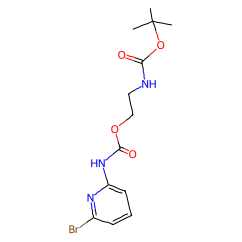 CC(C)(C)OC(=O)NCCOC(=O)Nc1cccc(Br)n1